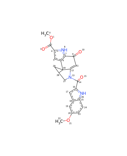 COC(=O)c1cc2c([nH]1)C(=O)C=C1N(C(=O)c3cc4cc(OC)ccc4[nH]3)CC3CC123